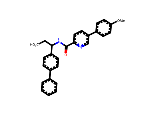 COc1ccc(-c2ccc(C(=O)NC(CC(=O)O)c3ccc(-c4ccccc4)cc3)nc2)cc1